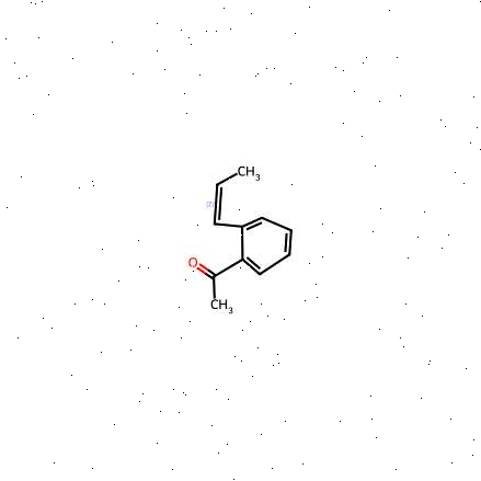 C/C=C\c1ccccc1C(C)=O